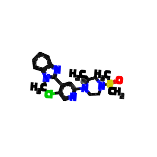 C=S(C)(=O)N1CCN(c2cc(-c3nc4ccccc4n3C)c(Cl)cn2)[C@@H](C)C1